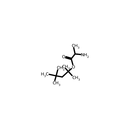 CC(N)C(=O)OC(C)(C)CC(C)(C)C